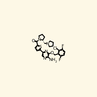 Nc1ncc(-c2ccc(C(=O)N3CCC[C@@H]3CN3CCCC3)s2)nc1OCc1c(F)ccc(F)c1Cl